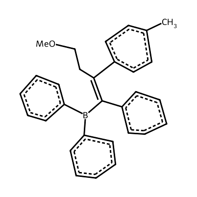 COCC/C(=C(\B(c1ccccc1)c1ccccc1)c1ccccc1)c1ccc(C)cc1